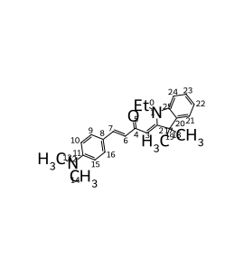 CCN1C(=CC(=O)/C=C/c2ccc(N(C)C)cc2)C(C)(C)c2ccccc21